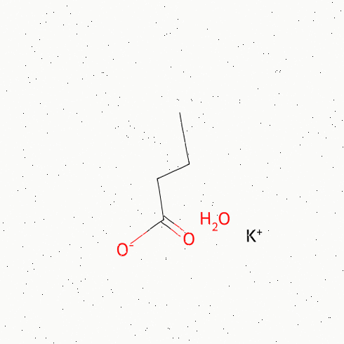 CCCC(=O)[O-].O.[K+]